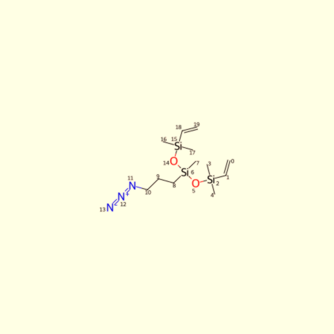 C=C[Si](C)(C)O[Si](C)(CCCN=[N+]=[N-])O[Si](C)(C)C=C